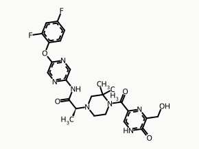 C[C@@H](C(=O)Nc1cnc(Oc2ccc(F)cc2F)cn1)N1CCN(C(=O)c2c[nH]c(=O)c(CO)n2)C(C)(C)C1